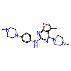 Cc1csc2nc(Nc3ccc(N4CCN(C)CC4)cc3)nc(N3CCN(C)CC3)c12